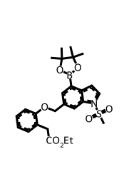 CCOC(=O)Cc1ccccc1OCc1cc(B2OC(C)(C)C(C)(C)O2)c2ccn(S(C)(=O)=O)c2c1